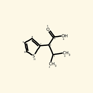 CC(C)C(C(=O)O)c1cccs1